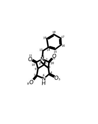 CC1(C)C2C(=O)NC(=O)C1C(=O)N(Cc1ccccc1)C2=O